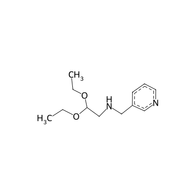 CCOC(CNCc1cccnc1)OCC